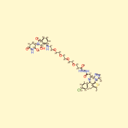 Cc1sc2c(c1C)C(c1ccc(Cl)cc1)=N[C@@H](CC(=O)NNC(=O)CCOCCOCCOCCOCCNc1cccc3c1C(O)N(C1CCC(=O)NC1=O)C3=O)c1nnc(C)n1-2